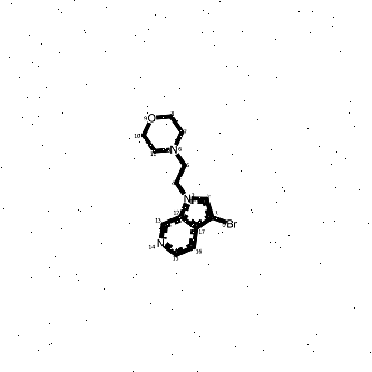 Brc1cn(CCN2CCOCC2)c2cnccc12